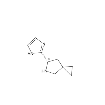 c1c[nH]c([C@@H]2CC3(CC3)CN2)n1